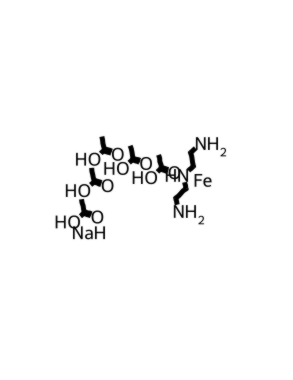 CC(=O)O.CC(=O)O.CC(=O)O.CC(=O)O.CC(=O)O.NCCNCCN.[Fe].[NaH]